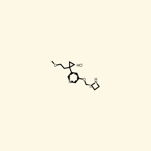 COCCC1(c2cncc(OC[C@@H]3CCN3)c2)CC1.Cl